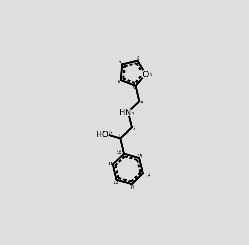 OC(CNCc1ccco1)c1ccccc1